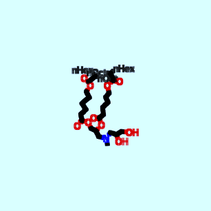 CCCCCCCCC(CCCCCC)C(=O)OCCCCCC(=O)OCC(CN(C)CC(O)CO)OC(=O)CCCCCOC(=O)C(CCCCCC)CCCCCCCC